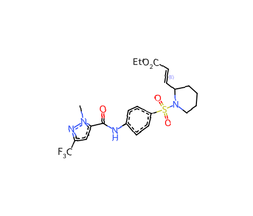 CCOC(=O)/C=C/C1CCCCN1S(=O)(=O)c1ccc(NC(=O)c2cc(C(F)(F)F)nn2C)cc1